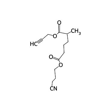 C#CCOC(=O)C(C)CCCC(=O)OCCCC#N